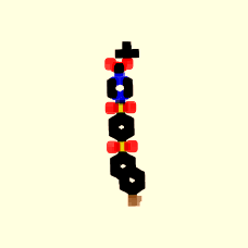 CC(C)(C)OC(=O)N1CCN(S(=O)(=O)c2ccc(S(=O)(=O)c3ccc4cc(Br)ccc4c3)cc2)CC1